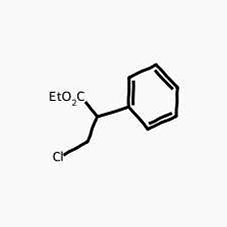 CCOC(=O)C(CCl)c1ccccc1